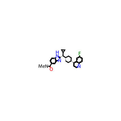 CNC(=O)c1ccc2[nH]c([C@H](C3CC3)[C@H]3CC[C@@H](c4ccnc5ccc(F)cc54)CC3)nc2c1